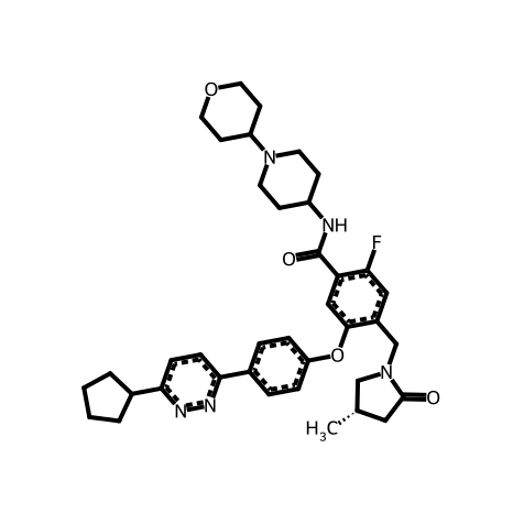 C[C@H]1CC(=O)N(Cc2cc(F)c(C(=O)NC3CCN(C4CCOCC4)CC3)cc2Oc2ccc(-c3ccc(C4CCCC4)nn3)cc2)C1